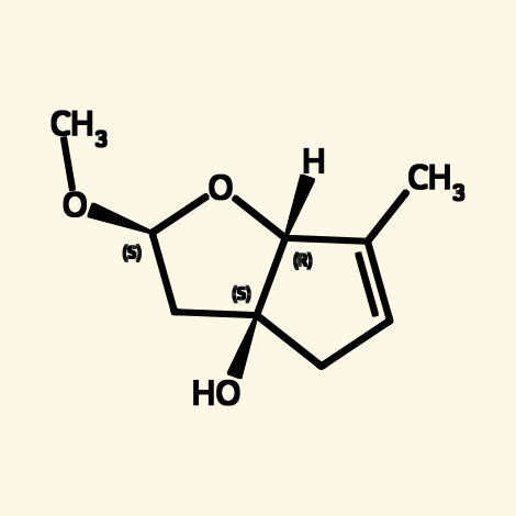 CO[C@@H]1C[C@@]2(O)CC=C(C)[C@H]2O1